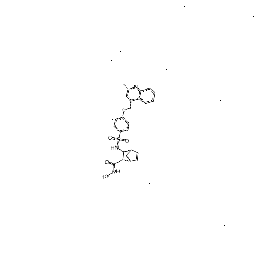 Cc1cc(COc2ccc(S(=O)(=O)NC3C4C=CC(C4)C3C(=O)NO)cc2)c2ccccc2n1